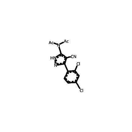 CC(=O)N(C(C)=O)c1[nH]nc(-c2ccc(Cl)cc2Cl)c1C#N